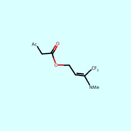 CNC(=CCOC(=O)CC(C)=O)C(F)(F)F